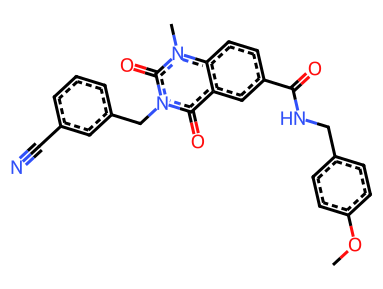 COc1ccc(CNC(=O)c2ccc3c(c2)c(=O)n(Cc2cccc(C#N)c2)c(=O)n3C)cc1